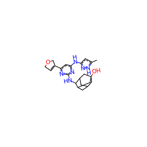 Cc1cc(Nc2cc(C3=CCOC3)nc(NC3C4CC5CC3CC(O)(C5)C4)n2)n[nH]1